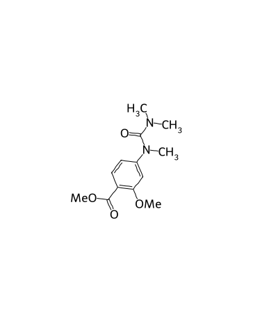 COC(=O)c1ccc(N(C)C(=O)N(C)C)cc1OC